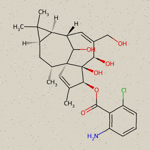 CC1=C[C@]23C(O)[C@@H](C=C(CO)[C@@H](O)[C@]2(O)[C@H]1OC(=O)c1c(N)cccc1Cl)[C@H]1[C@@H](C[C@H]3C)C1(C)C